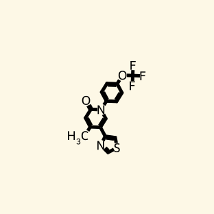 Cc1cc(=O)n(-c2ccc(OC(F)(F)F)cc2)cc1-c1cscn1